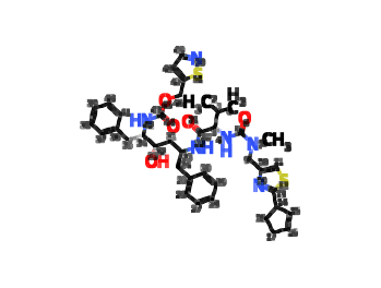 CC(C)[C@H](NC(=O)N(C)Cc1csc(C2C=CCC2)n1)C(=O)N[C@@H](Cc1ccccc1)C[C@H](O)[C@H](Cc1ccccc1)NC(=O)OCc1ccns1